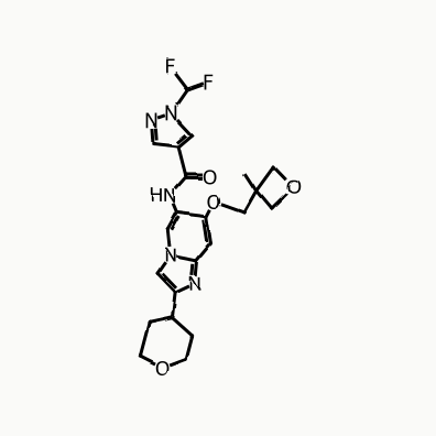 CC1(COc2cc3nc(C4CCOCC4)cn3cc2NC(=O)c2cnn(C(F)F)c2)COC1